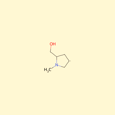 CN1C[CH]CC1CO